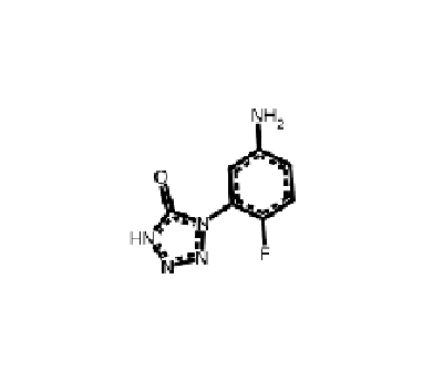 Nc1ccc(F)c(-n2nn[nH]c2=O)c1